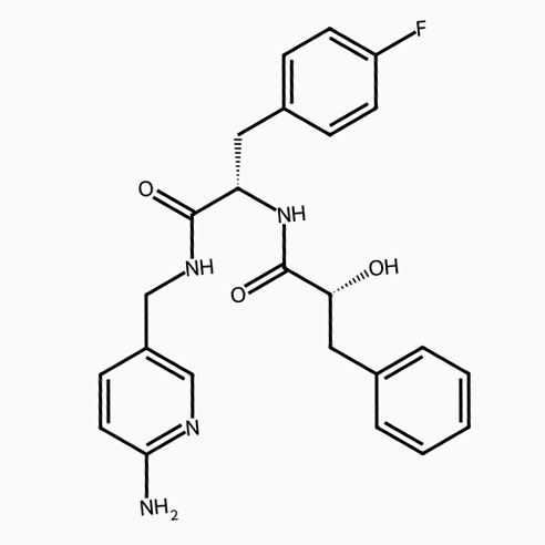 Nc1ccc(CNC(=O)[C@H](Cc2ccc(F)cc2)NC(=O)[C@H](O)Cc2ccccc2)cn1